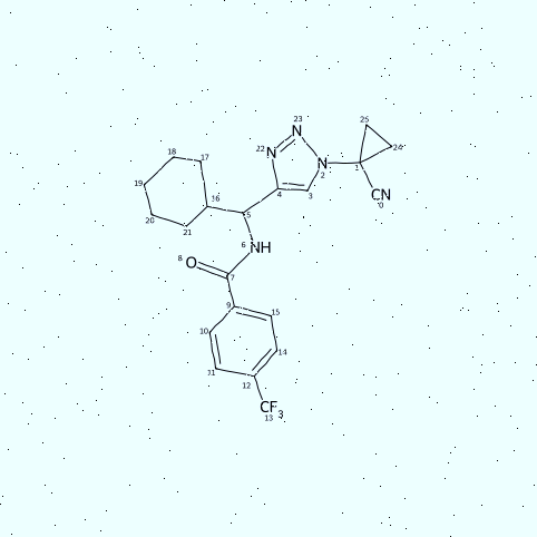 N#CC1(n2cc(C(NC(=O)c3ccc(C(F)(F)F)cc3)C3CCCCC3)nn2)CC1